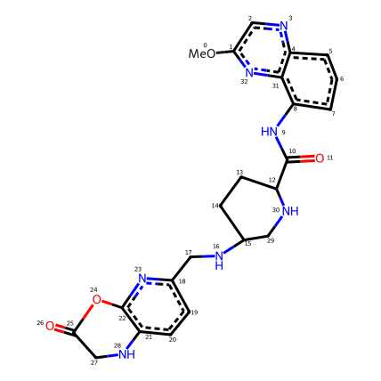 COc1cnc2cccc(NC(=O)C3CCC(NCc4ccc5c(n4)OC(=O)CN5)CN3)c2n1